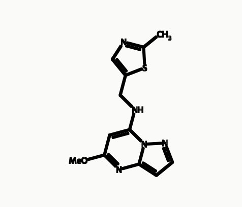 COc1cc(NCc2cnc(C)s2)n2nccc2n1